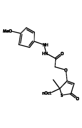 CCCCCCCCC1(C)SC(=O)C=C1OCC(=O)NNc1ccc(OC)cc1